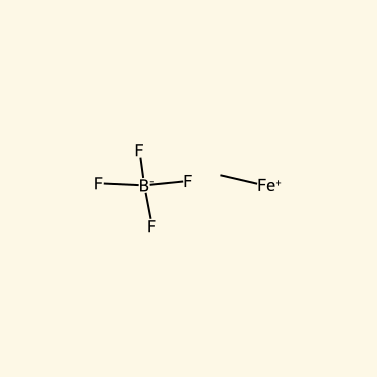 F[B-](F)(F)F.[CH3][Fe+]